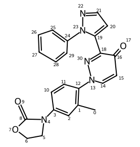 Cc1cc(N2CCOC2=O)ccc1-n1ccc(=O)c(-c2ccnn2-c2ccccc2)n1